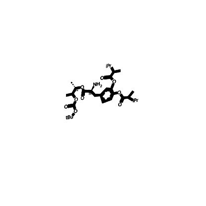 CC(C)C(C)C(=O)Oc1ccc(C[C@H](N)C(=O)O[C@@H](C)C(C)OC(=O)OC(C)(C)C)cc1OC(=O)C(C)C(C)C